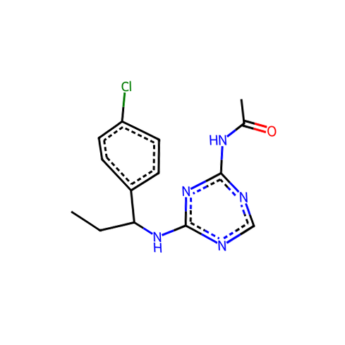 CCC(Nc1ncnc(NC(C)=O)n1)c1ccc(Cl)cc1